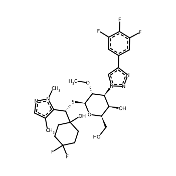 CO[C@@H]1[C@@H](n2cc(-c3cc(F)c(F)c(F)c3)nn2)[C@@H](O)[C@@H](CO)O[C@H]1S[C@@H](c1c(C)cnn1C)C1(O)CCC(F)(F)CC1